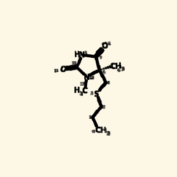 CCCSC[C@]1(C)C(=O)NC(=O)N1C